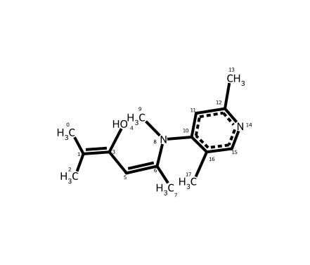 CC(C)=C(O)/C=C(/C)N(C)c1cc(C)ncc1C